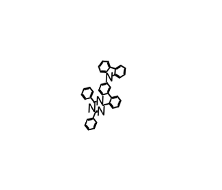 c1ccc(-c2nc(-c3ccccc3)nc(-c3ccccc3-c3cccc(-n4c5ccccc5c5ccccc54)c3)n2)cc1